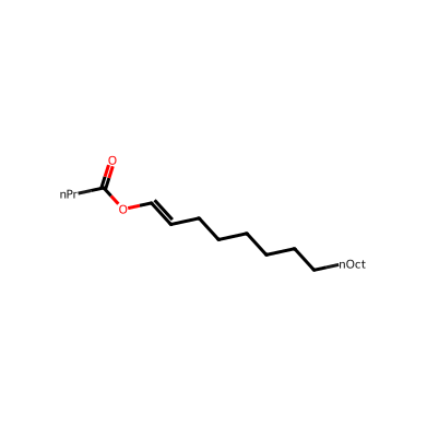 CCCCCCCCCCCCCC/C=C/OC(=O)CCC